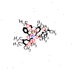 C=C1C[C@](OC)([C@H](OC(=O)c2ccccc2)C(=O)N[C@@H](OCC)[C@@H]2C[C@@H](O[Si](CC)(CC)CC)C(C)(C)[C@@H](C[C@@H](COC)OC)O2)O[C@H](C)[C@@H]1C